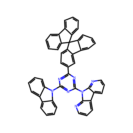 c1ccc2c(c1)-c1ccccc1C21c2ccccc2-c2cc(-c3nc(-n4c5ccccc5c5ccccc54)nc(-n4c5ncccc5c5cccnc54)n3)ccc21